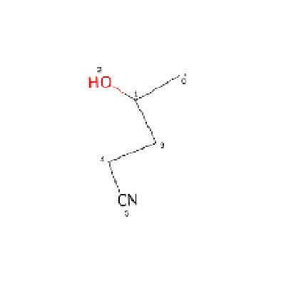 [CH2]C(O)CCC#N